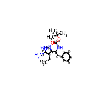 CCc1c(C(Cc2ccccc2)NC(=O)OC(C)(C)C)n[nH]c1N